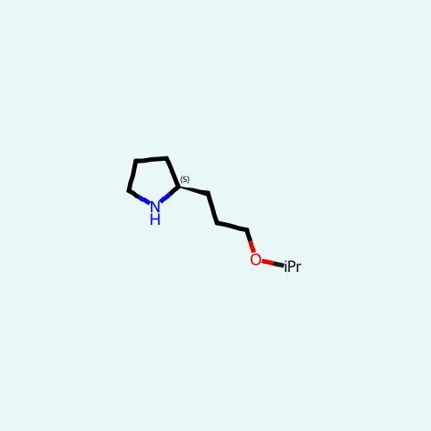 CC(C)OCCC[C@@H]1CCCN1